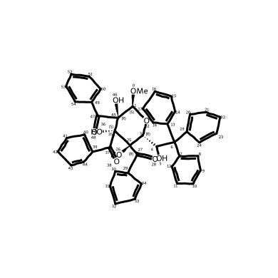 CO[C@H]1O[C@H](C(O)C(c2ccccc2)(c2ccccc2)c2ccccc2)[C@](O)(C(=O)c2ccccc2)[C@@](O)(C(=O)c2ccccc2)[C@]1(O)C(=O)c1ccccc1